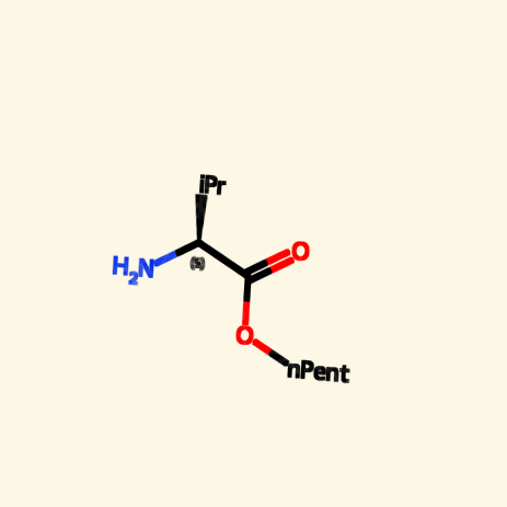 CCCCCOC(=O)[C@@H](N)C(C)C